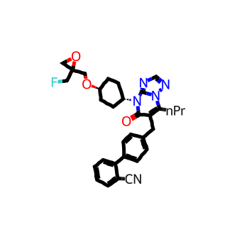 CCCc1c(Cc2ccc(-c3ccccc3C#N)cc2)c(=O)n([C@H]2CC[C@H](OCC3(CF)CO3)CC2)c2ncnn12